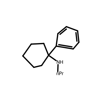 CCCNC1(c2ccccc2)CCCCC1